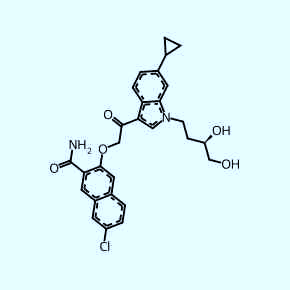 NC(=O)c1cc2cc(Cl)ccc2cc1OCC(=O)c1cn(CC[C@@H](O)CO)c2cc(C3CC3)ccc12